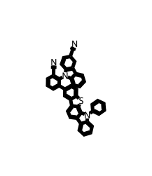 N#Cc1cccc(-c2ccc3sc4c(ccc5c6ccccc6n(-c6ccccc6)c54)c3c2)c1-n1c2c(c3ccccc31)CC(C#N)C=C2